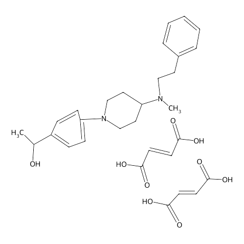 CC(O)c1ccc(N2CCC(N(C)CCc3ccccc3)CC2)cc1.O=C(O)/C=C/C(=O)O.O=C(O)/C=C/C(=O)O